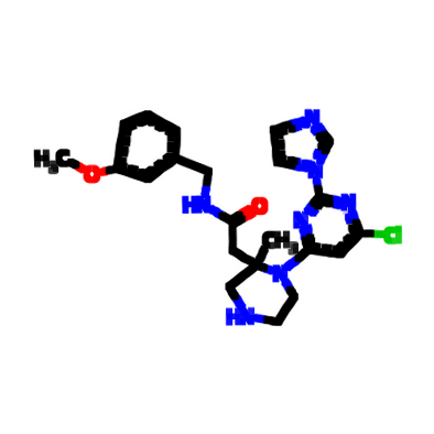 COc1cccc(CNC(=O)CC2(C)CNCCN2c2cc(Cl)nc(-n3ccnc3)n2)c1